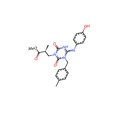 COC(=O)[C@@H](C)Cn1c(=O)[nH]/c(=N\c2ccc(O)cc2)n(Cc2ccc(C)cc2)c1=O